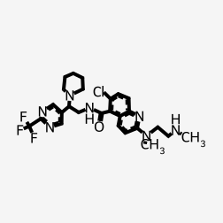 CNCCN(C)c1ccc2c(C(=O)NCC(c3cnc(C(F)(F)F)nc3)N3CCCCC3)c(Cl)ccc2n1